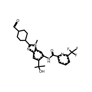 Cn1c(C2CCC(C=O)CC2)nc2cc(C(C)(C)O)c(NC(=O)c3cccc(C(F)(F)F)n3)cc21